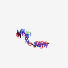 C=CCOC(=O)NCC(=O)NCN1C(=O)CCC(n2c(=O)n(C)c3c(C#CCOC4CCN(CC5CCC(n6cc(NC(=O)c7cnn8ccc(N9C[C@H]%10C[C@@H]9CO%10)nc78)c(C(F)F)n6)CC5)CC4)cccc32)C1=O